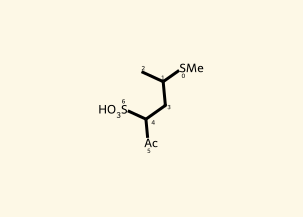 CSC(C)CC(C(C)=O)S(=O)(=O)O